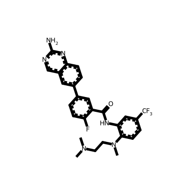 CN(C)CCN(C)c1ccc(C(F)(F)F)cc1NC(=O)c1cc(-c2ccc3nc(N)ncc3c2)ccc1F